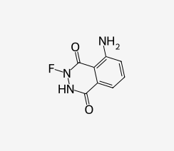 Nc1cccc2c(=O)[nH]n(F)c(=O)c12